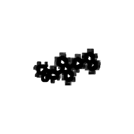 C1=Cc2c(oc3ccc(-c4c5ccccc5c(-c5ccc(-c6cccc7ccccc67)cc5)c5ccccc45)cc23)CC1